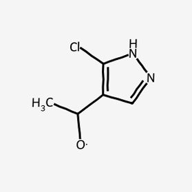 CC([O])c1cn[nH]c1Cl